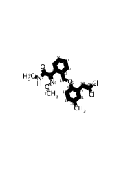 CNC(=O)C(=NOC)c1ccccc1COc1ccc(C)cc1C=C(Cl)Cl